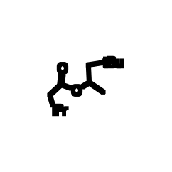 CC(C)CC(=O)OC(C)CC(C)(C)C